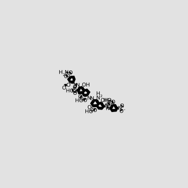 Nc1c(N=Nc2ccc3c(O)c(N=Nc4ccc(S(N)(=O)=O)cc4OC=O)c(S(=O)(=O)O)cc3c2S(=O)(=O)O)cc(S(=O)(=O)O)c2ccc(N=Nc3ccc([N+](=O)[O-])cc3S(=O)(=O)O)c(O)c12